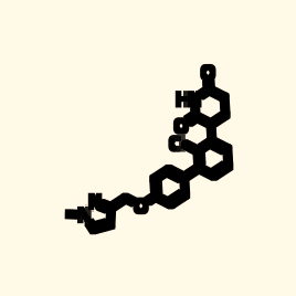 Cn1ccc(COc2ccc(-c3cccc(C4CCC(=O)NC4=O)c3Cl)cc2)n1